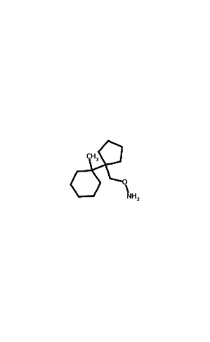 CC1(C2(CON)CCCC2)CCCCC1